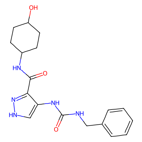 O=C(NCc1ccccc1)Nc1c[nH]nc1C(=O)NC1CCC(O)CC1